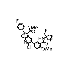 CNC(=O)c1c(-c2ccc(F)cc2)oc2nc(Cl)c(-c3ccc(OC)c(C(=O)NC(CF)(CF)CF)c3)cc12